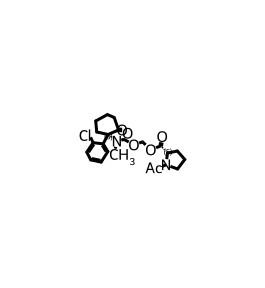 CC(=O)N1CCC[C@H]1C(=O)OCOC(=O)N(C)[C@]1(c2ccccc2Cl)CCCCC1=O